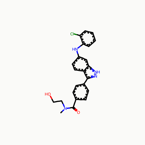 CN(CCO)C(=O)c1ccc(-c2n[nH]c3cc(Nc4ccccc4Cl)ccc23)cc1